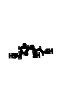 SCCC(S)SC1SCC(CS)S1